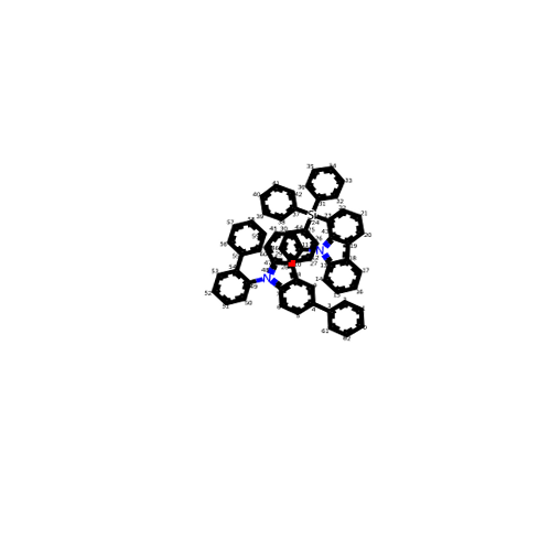 c1ccc(-c2ccc3c(c2)c2c(-n4c5ccccc5c5cccc([Si](c6ccccc6)(c6ccccc6)c6ccccc6)c54)cccc2n3-c2ccccc2-c2ccccc2)cc1